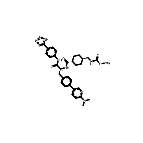 CN(C)c1ccc(-c2ccc(C[C@H](NC(=O)[C@H]3CC[C@H](CNC(=O)OC(C)(C)C)CC3)C(=O)Nc3ccc(-c4nnn[nH]4)cc3)cc2)cn1